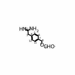 N=C(N)Cc1ccc(CO[C]=O)cc1